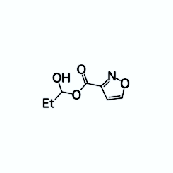 CCC(O)OC(=O)c1ccon1